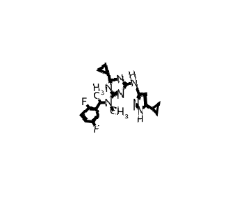 CC(c1cc(F)ccc1F)N(C)c1nc(Nc2cc(C3CC3)[nH]n2)nc(C2CC2)n1